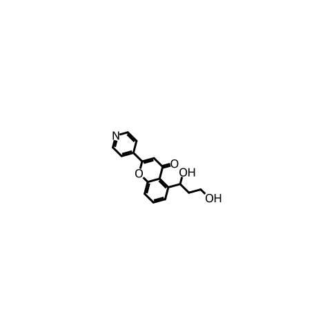 O=c1cc(-c2ccncc2)oc2cccc(C(O)CCO)c12